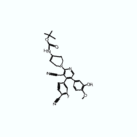 COc1ccc(-c2cnc(N3CCC(NC(=O)OC(C)(C)C)CC3)c(C#N)c2-c2ccc(C#N)c(F)c2)cc1O